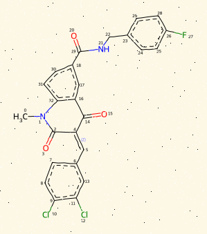 CN1C(=O)/C(=C\c2ccc(Cl)c(Cl)c2)C(=O)c2cc(C(=O)NCc3ccc(F)cc3)ccc21